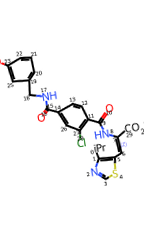 CC(C)c1ncsc1/C=C(\NC(=O)c1ccc(C(=O)NCc2cccc(O)c2)cc1Cl)C(=O)O